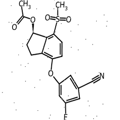 CC(=O)O[C@@H]1CCc2c(Oc3cc(F)cc(C#N)c3)ccc(S(C)(=O)=O)c21